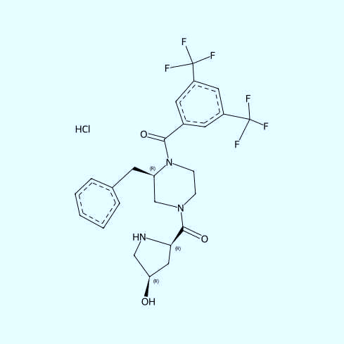 Cl.O=C([C@H]1C[C@@H](O)CN1)N1CCN(C(=O)c2cc(C(F)(F)F)cc(C(F)(F)F)c2)[C@H](Cc2ccccc2)C1